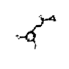 COc1cc(C=CC(=O)C2CC2)cc(OC)c1